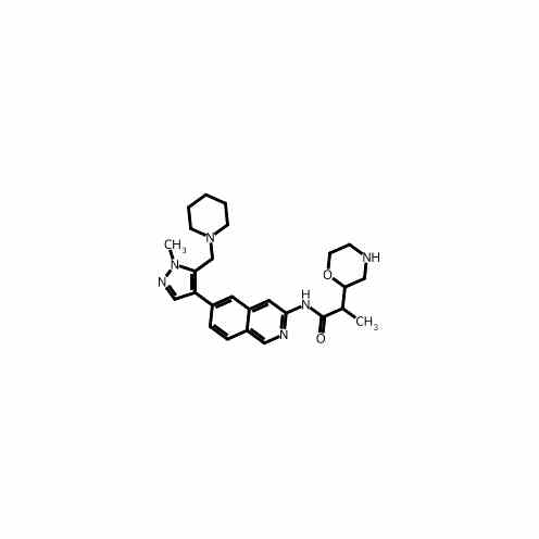 CC(C(=O)Nc1cc2cc(-c3cnn(C)c3CN3CCCCC3)ccc2cn1)C1CNCCO1